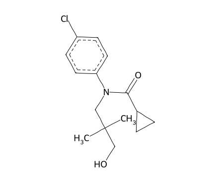 CC(C)(CO)CN(C(=O)C1CC1)c1ccc(Cl)cc1